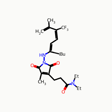 C=C(C)/C(=C\C=C(\NN1C(=O)C(C)=C(CCC(=O)N(CC)CC)C1=O)C(C)CC)C(F)(F)F